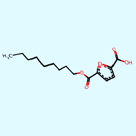 CCCCCCCCCOC(=O)c1ccc(C(=O)O)o1